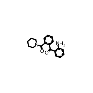 Nc1ccccc1C(=O)c1ccccc1C(=O)N1CCCCC1